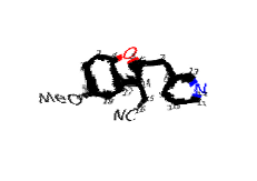 COc1ccc2oc(Cc3cccnc3)c(CC#N)c2c1